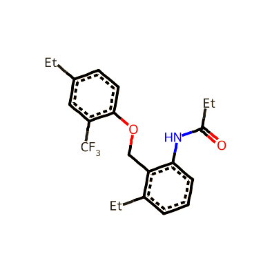 CCC(=O)Nc1cccc(CC)c1COc1ccc(CC)cc1C(F)(F)F